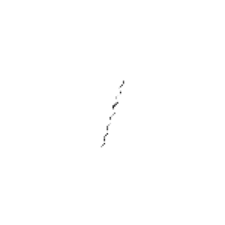 CCCCCC=CCCCCCCCC